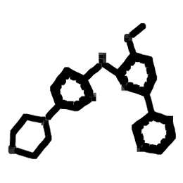 COc1ccc(-c2cnccn2)nc1Nc1ccc(N2CCOCC2)cn1